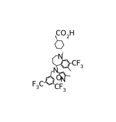 Cc1cc(N(Cc2cc(C(F)(F)F)cc(C(F)(F)F)c2)[C@H]2CCCN(C[C@H]3CC[C@H](CC(=O)O)CC3)c3cc(C(F)(F)F)c(C)cc32)on1